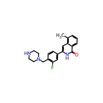 Cc1cccc2c(=O)[nH]c(-c3ccc(CN4CCNCC4)c(F)c3)cc12